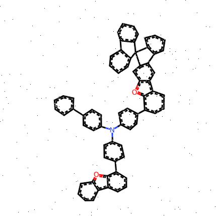 c1ccc(-c2ccc(N(c3ccc(-c4cccc5c4oc4ccccc45)cc3)c3ccc(-c4cccc5c4oc4cc6c(cc45)-c4ccccc4C64c5ccccc5-c5ccccc54)cc3)cc2)cc1